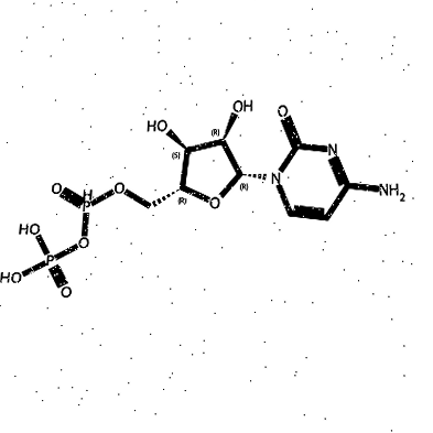 Nc1ccn([C@@H]2O[C@H](CO[PH](=O)OP(=O)(O)O)[C@@H](O)[C@H]2O)c(=O)n1